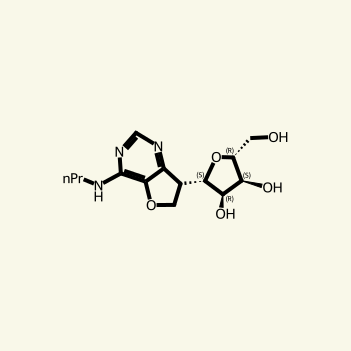 CCCNc1ncnc2c1OCC2[C@@H]1O[C@H](CO)[C@@H](O)[C@H]1O